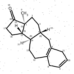 C[C@]12CC[C@@H]3CC4=C(CC=CC4)CC[C@H]3[C@@H]1CCC2=O